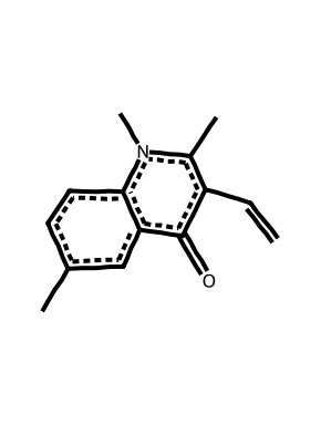 C=Cc1c(C)n(C)c2ccc(C)cc2c1=O